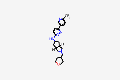 FC(F)(F)c1ccc(-c2ccc(NC3C[C@@H]4CN(CC5CCOCC5)C[C@@H]4C3)nn2)cn1